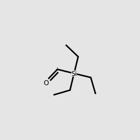 CC[Si]([C]=O)(CC)CC